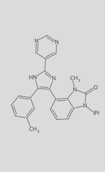 Cc1cccc(-c2[nH]c(-c3cncnc3)nc2-c2cccc3c2n(C)c(=O)n3C(C)C)c1